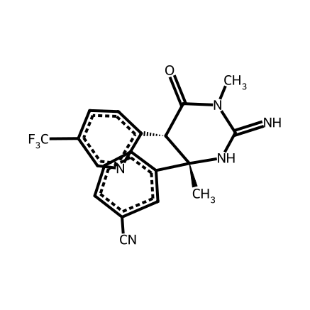 CN1C(=N)N[C@](C)(c2cccc(C#N)c2)[C@H](c2ccc(C(F)(F)F)cn2)C1=O